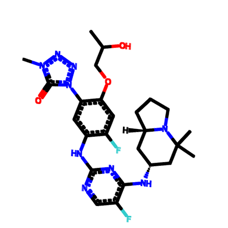 CC(O)COc1cc(F)c(Nc2ncc(F)c(N[C@@H]3C[C@@H]4CCCN4C(C)(C)C3)n2)cc1-n1nnn(C)c1=O